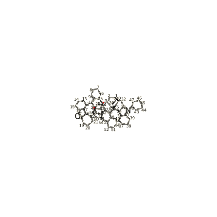 c1ccc(-c2c3ccccc3c(-c3cccc4oc5cccc(-c6cccc7c(-c8cccc9c8c8ccccc8n9-c8ccccc8)c8ccccc8cc67)c5c34)c3ccccc23)cc1